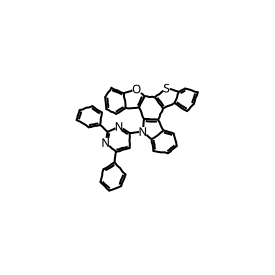 c1ccc(-c2cc(-n3c4ccccc4c4c5c6ccccc6sc5c5oc6ccccc6c5c43)nc(-c3ccccc3)n2)cc1